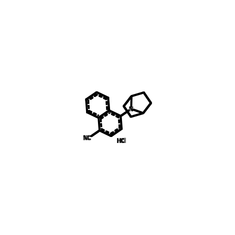 Cl.N#Cc1ccc(N2C3CCC2CC3)c2ccccc12